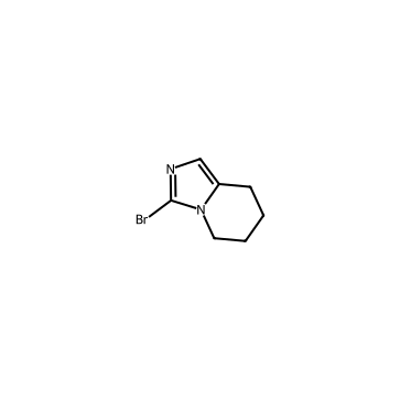 Brc1ncc2n1CCCC2